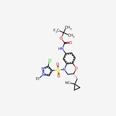 CCn1cc(S(=O)(=O)N2C[C@@H](CC3(C#N)CC3)Oc3ccc(NC(=O)OC(C)(C)C(F)(F)F)cc32)c(Cl)n1